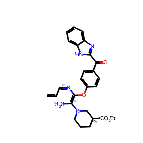 C=C/C=N\C(Oc1ccc(C(=O)c2nc3ccccc3[nH]2)cc1)=C(/N)N1CCC[C@H](C(=O)OCC)C1